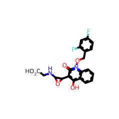 O=C(O)CNC1OC1c1c(O)c2ccccc2n(OCc2ccc(F)cc2F)c1=O